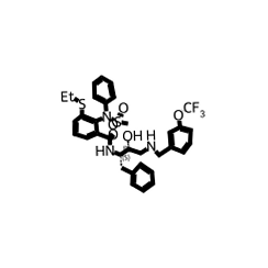 CCSc1cccc(C(=O)N[C@@H](Cc2ccccc2)[C@H](O)CNCc2cccc(OC(F)(F)F)c2)c1N(c1ccccc1)S(C)(=O)=O